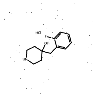 Cl.OC1(Cc2ccccc2F)CCNCC1